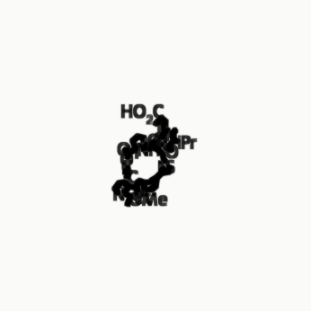 CCn1c(-c2cccnc2[C@H](C)OC)c2c3cc(ccc31)-c1csc(n1)C[C@H](NC(=O)C(C(C)C)N(C)C(=O)N1CC(C(=O)O)C1)C(=O)N1CCC[C@H](N1)C(=O)OCC(C)(C)C2